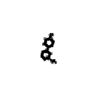 CCN1CCN([C@H]2CCC[C@@H](N)C2)CC1